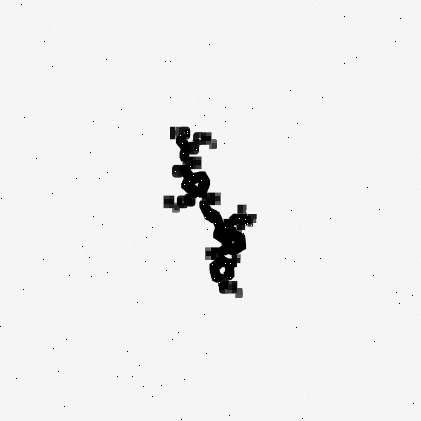 COc1cc(C(=O)NCC(CO)OC)ccc1NCC#Cc1cc2c(NC3CCN(C)CC3F)cccc2n1CC(F)(F)F